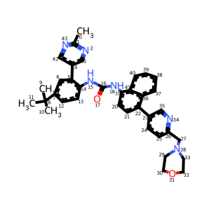 Cc1ncc(-c2cc(C(C)(C)C)ccc2NC(=O)Nc2ccc(-c3ccc(CN4CCOCC4)nc3)c3ccccc23)cn1